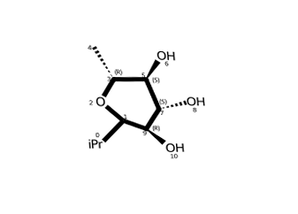 CC(C)C1O[C@H](C)[C@@H](O)[C@H](O)[C@H]1O